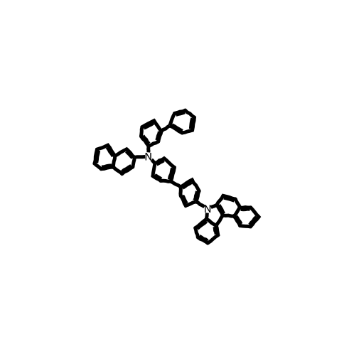 c1ccc(-c2cccc(N(c3ccc(-c4ccc(-n5c6ccccc6c6c7ccccc7ccc65)cc4)cc3)c3ccc4ccccc4c3)c2)cc1